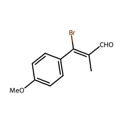 COc1ccc(C(Br)=C(C)C=O)cc1